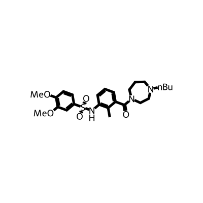 CCCCN1CCCN(C(=O)c2cccc(NS(=O)(=O)c3ccc(OC)c(OC)c3)c2C)CC1